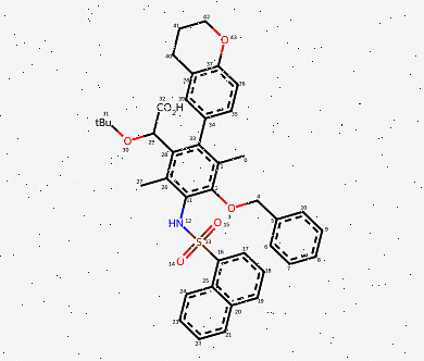 Cc1c(OCc2ccccc2)c(NS(=O)(=O)c2cccc3ccccc23)c(C)c(C(OC(C)(C)C)C(=O)O)c1-c1ccc2c(c1)CCCO2